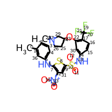 Cc1cccc(Nc2sc(S(=O)(=O)Nc3ccc(C(F)(F)F)c(OC4CCN(C)C4)c3)cc2[N+](=O)[O-])c1